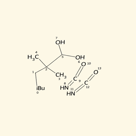 CCC(C)CC(C)(C)C(O)O.N=C=O.N=C=O